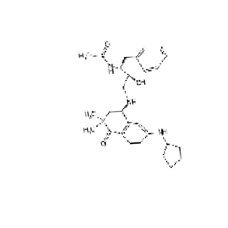 CC(=O)N[C@@H](Cc1ccccc1)[C@@H](O)CN[C@@H]1CC(C)(C)C(=O)c2ccc(NC3CCCC3)cc21